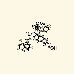 COC(=O)C1(Nc2cccc(Cl)c2)CCC2(CC1)c1cc3c(cc1C[C@@H]2C[C@@H](C)COc1ccnc2c1[C@H](C)CCC2)OC(CCO)O3